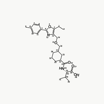 CCc1oc(-c2ccc(C)cc2)nc1COCC1CCCC(C(=O)N[C@H](C(=O)O)C(C)C)C1